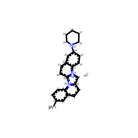 CC(C)c1ccc2c(ccc3c[n+]4c5ccc(N6CCCCC6)cc5ccc4n32)c1.[I-]